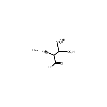 CCC(C(=O)S)C(C(=O)O)S(=O)(=O)O.[NaH].[NaH].[NaH]